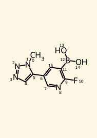 Cn1nncc1-c1cnc(F)c(B(O)O)c1